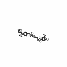 COc1ccc(S(=O)(=O)N(C)CCOCC(=O)NCC2CCC(C(c3cccs3)N(C)C)CC2)cc1OC